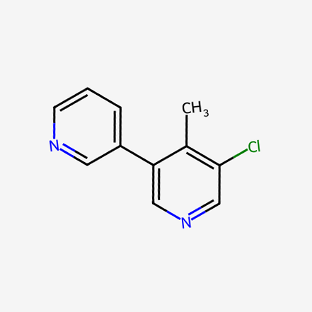 Cc1c(Cl)cncc1-c1cccnc1